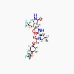 O=C(COC(F)(F)F)C(C[C@@H]1CCNC1=O)NC(=O)[C@@H]1CC2(CC2)CN1C(=O)COc1ccc(OC(F)(F)F)cc1